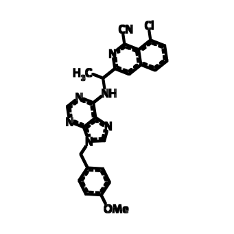 COc1ccc(Cn2cnc3c(NC(C)c4cc5cccc(Cl)c5c(C#N)n4)ncnc32)cc1